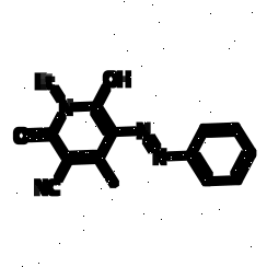 CCn1c(O)c(N=Nc2ccccc2)c(C)c(C#N)c1=O